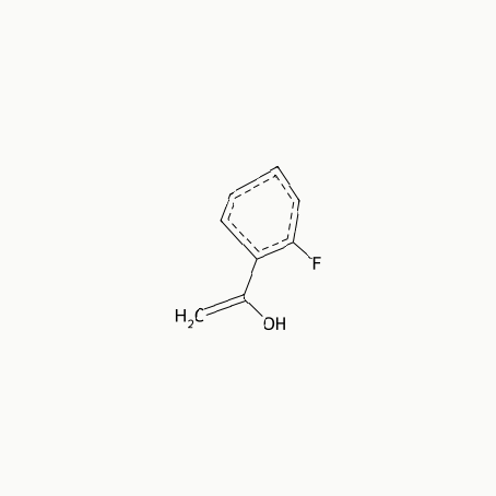 C=C(O)c1ccccc1F